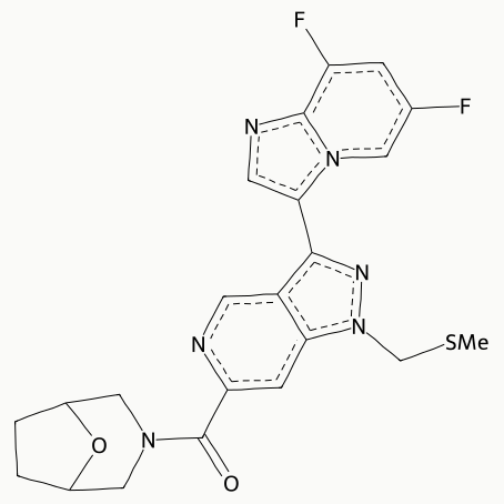 CSCn1nc(-c2cnc3c(F)cc(F)cn23)c2cnc(C(=O)N3CC4CCC(C3)O4)cc21